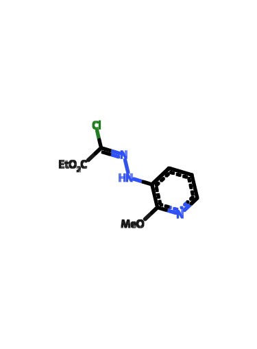 CCOC(=O)/C(Cl)=N\Nc1cccnc1OC